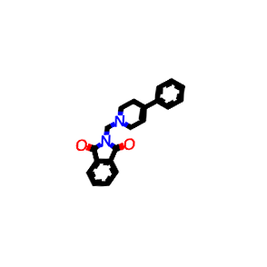 O=C1c2ccccc2C(=O)N1CN1CC=C(c2ccccc2)CC1